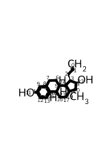 C=CC[C@@H]1[C@H]2[C@@H]3CCc4cc(O)ccc4[C@H]3CC[C@]2(C)C[C@H]1O